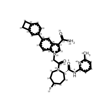 Cc1cccc(NC(=O)[C@@H]2CCC(F)CCN2C(=O)Cn2cc(C(N)=O)c3cc(-c4ccc5c(c4)CC5)ccc32)n1